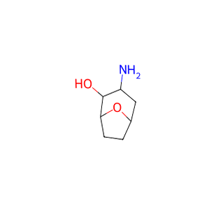 NC1CC2CCC(O2)C1O